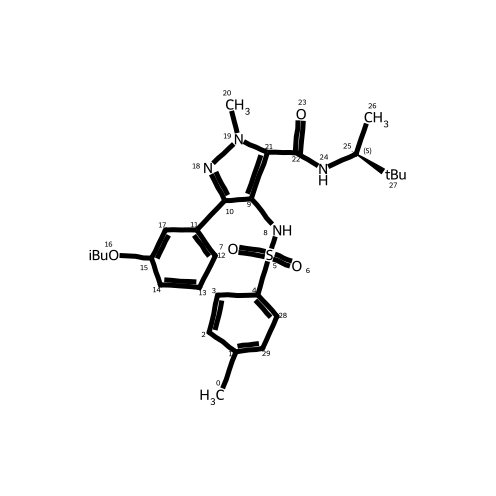 Cc1ccc(S(=O)(=O)Nc2c(-c3cccc(OCC(C)C)c3)nn(C)c2C(=O)N[C@@H](C)C(C)(C)C)cc1